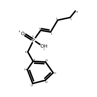 CCCC=CP(=O)(O)Cc1ccccc1